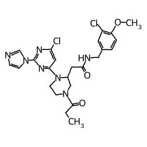 CCC(=O)N1CCN(c2cc(Cl)nc(-n3ccnc3)n2)C(CC(=O)NCc2ccc(OC)c(Cl)c2)C1